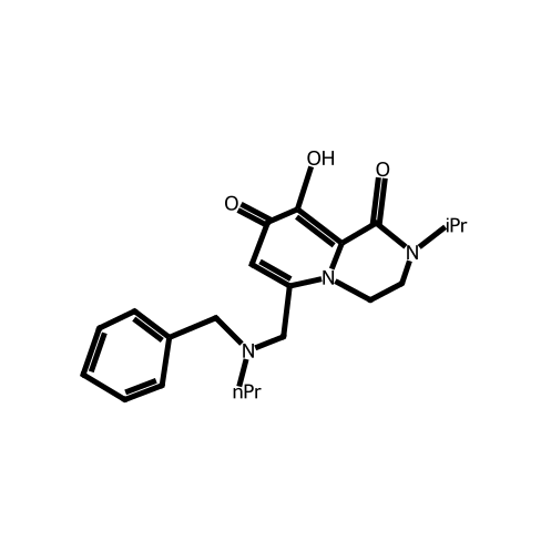 CCCN(Cc1ccccc1)Cc1cc(=O)c(O)c2n1CCN(C(C)C)C2=O